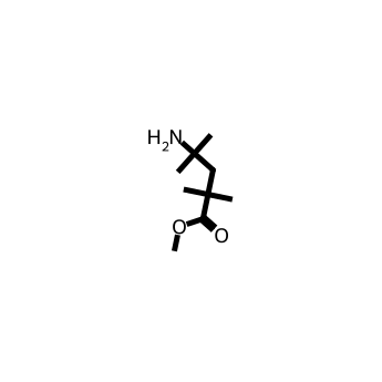 COC(=O)C(C)(C)CC(C)(C)N